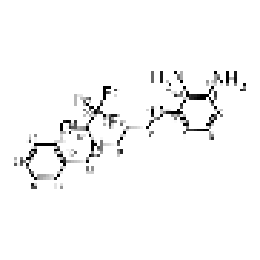 Nc1cccc(OCCCN(Cc2ccccc2)C(=O)C(F)(F)F)c1N